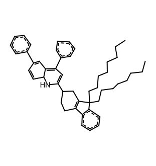 CCCCCCCCC1(CCCCCCCC)C2=C(CCC(C3=CC(c4ccccc4)=C4C=C(c5ccccc5)C=CC4N3)C2)c2ccccc21